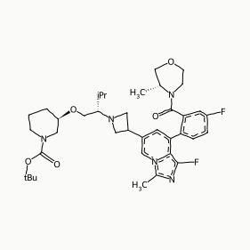 Cc1nc(F)c2c(-c3ccc(F)cc3C(=O)N3CCOC[C@H]3C)cc(C3CN([C@H](CO[C@@H]4CCCN(C(=O)OC(C)(C)C)C4)C(C)C)C3)cn12